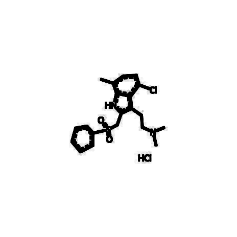 Cc1ccc(Cl)c2c(CCN(C)C)c(CS(=O)(=O)c3ccccc3)[nH]c12.Cl